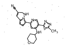 Cc1nnc(-c2cnc(-c3ccc4n3NCC(C#N)=C4)cc2NC2CCOCC2)s1